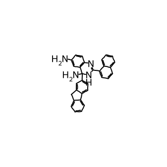 Nc1ccc2c(c1)C(N)(c1ccc3c(c1)Cc1ccccc1-3)NC(c1cccc3ccccc13)=N2